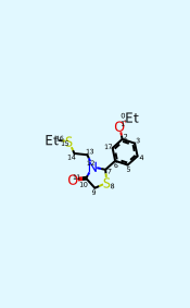 CCOc1cccc(C2SCC(=O)N2CCSCC)c1